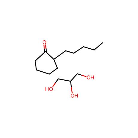 CCCCCC1CCCCC1=O.OCC(O)CO